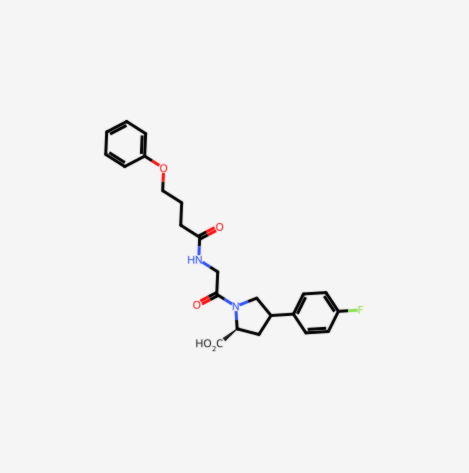 O=C(CCCOc1ccccc1)NCC(=O)N1CC(c2ccc(F)cc2)C[C@H]1C(=O)O